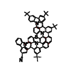 Cc1cc2c3c(c1)N(c1c(-c4ccccc4)cc(C(C)(C)C)cc1-c1ccccc1)c1cc(-n4c5ccc(C(C)(C)C)cc5c5cc(C(C)(C)C)ccc54)ccc1B3c1ccc(-n3c4ccccc4c4cc(C#N)ccc43)cc1N2c1c(-c2ccccc2)cc(C(C)(C)C)cc1-c1ccccc1